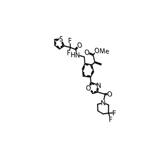 C=C(C(=O)OC)c1cc(-c2nc(C(=O)N3CCCC(F)(F)C3)co2)ccc1CNC(=O)C(F)(F)c1cccs1